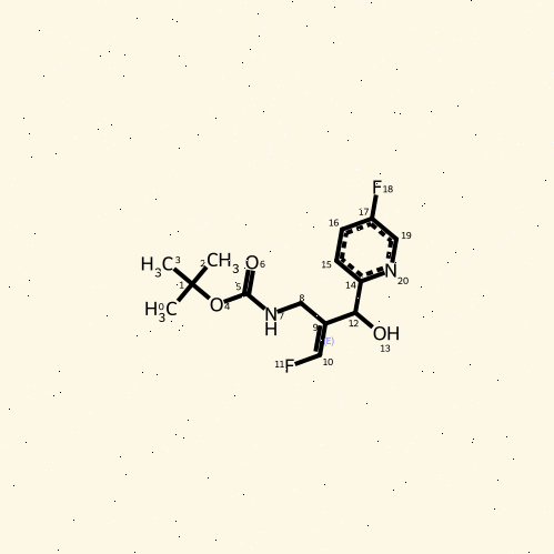 CC(C)(C)OC(=O)NC/C(=C\F)C(O)c1ccc(F)cn1